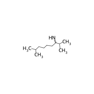 CC(C)CCCCC(=N)C(C)C